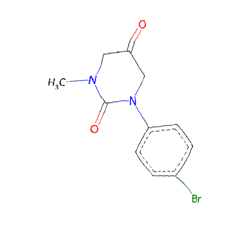 CN1CC(=O)CN(c2ccc(Br)cc2)C1=O